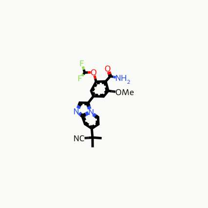 COc1cc(-c2cnc3cc(C(C)(C)C#N)ccn23)cc(OC(F)F)c1C(N)=O